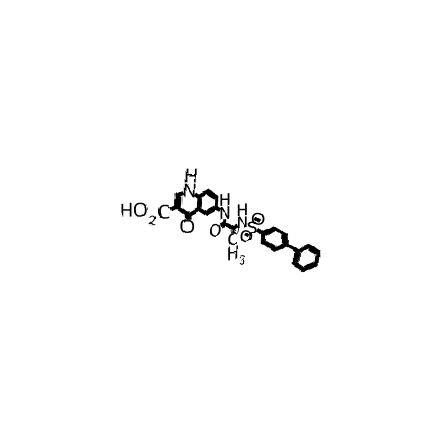 C[C@H](NS(=O)(=O)c1ccc(-c2ccccc2)cc1)C(=O)Nc1ccc2[nH]cc(C(=O)O)c(=O)c2c1